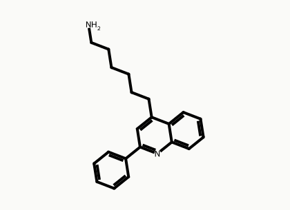 NCCCCCCc1cc(-c2ccccc2)nc2ccccc12